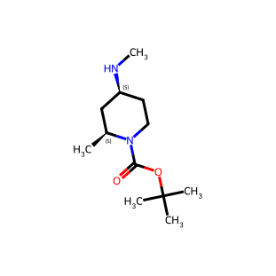 CN[C@H]1CCN(C(=O)OC(C)(C)C)[C@@H](C)C1